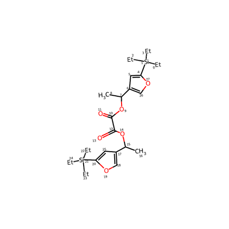 CC[Si](CC)(CC)c1cc(C(C)OC(=O)C(=O)OC(C)c2coc([Si](CC)(CC)CC)c2)co1